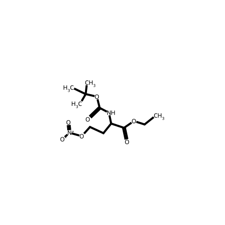 CCOC(=O)C(CCO[N+](=O)[O-])NC(=O)OC(C)(C)C